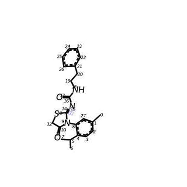 Cc1ccc(C(C)C)c(N2C(=O)CS/C2=N\C(=O)NCCc2cc[c]cc2)c1